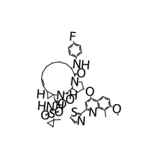 COc1ccc2c(O[C@@H]3C[C@H]4C(=O)N[C@]5(C(=O)NS(=O)(=O)C6(C)CC6)C[C@H]5/C=C\CCCCC[C@H](Nc5ccc(F)cc5)C(=O)N4C3)cc(-c3nccs3)nc2c1C